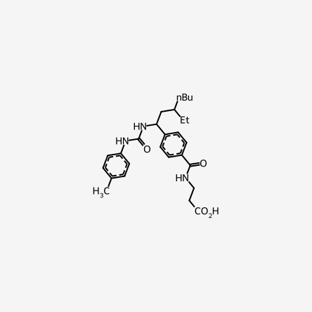 CCCCC(CC)CC(NC(=O)Nc1ccc(C)cc1)c1ccc(C(=O)NCCC(=O)O)cc1